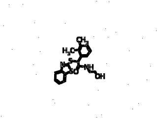 Cc1cccc(C(Sc2nc3ccccc3s2)C(=O)NCCO)c1C